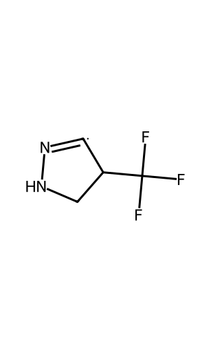 FC(F)(F)C1[C]=NNC1